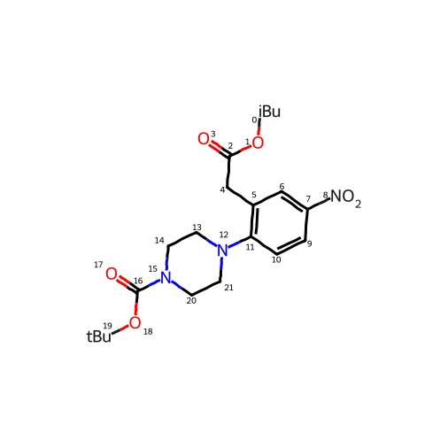 CCC(C)OC(=O)Cc1cc([N+](=O)[O-])ccc1N1CCN(C(=O)OC(C)(C)C)CC1